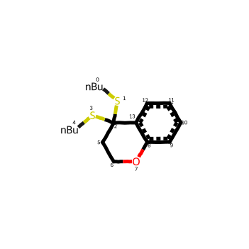 CCCCSC1(SCCCC)CCOc2cc[c]cc21